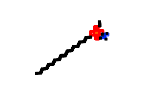 CCCCCCCC/C=C/CCCCCCCCOP(=O)(OCC)O[N+](C)(C)C